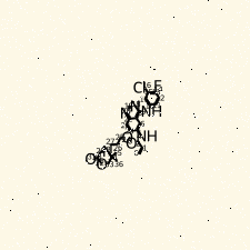 C=CC(=O)Nc1cc2c(Nc3ccc(F)c(Cl)c3)ncnc2cc1OCCCN1CC(=O)OCC1(C)C